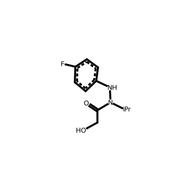 CC(C)N(Nc1ccc(F)cc1)C(=O)CO